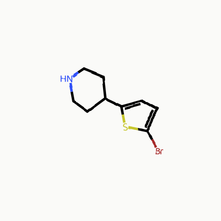 Brc1ccc(C2CCNCC2)s1